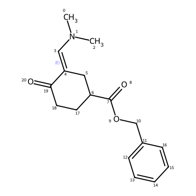 CN(C)/C=C1\CC(C(=O)OCc2ccccc2)CCC1=O